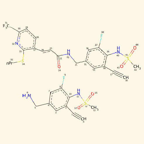 C#Cc1cc(CN)cc(F)c1NS(C)(=O)=O.C#Cc1cc(CNC(=O)C=Cc2ccc(C(F)(F)F)nc2SCCC)cc(F)c1NS(C)(=O)=O